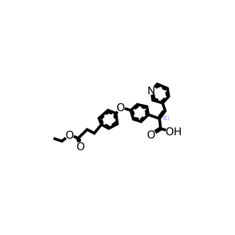 CCOC(=O)CCc1ccc(Oc2ccc(/C(=C\c3cccnc3)C(=O)O)cc2)cc1